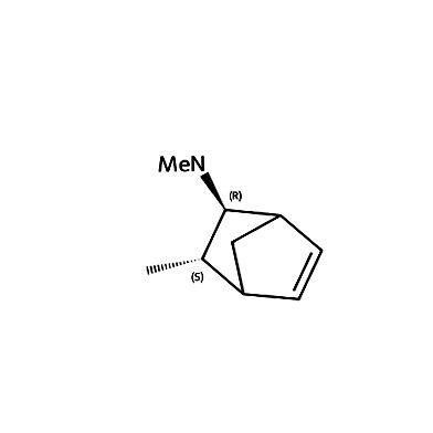 CN[C@H]1C2C=CC(C2)[C@@H]1C